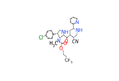 CN(C(=O)OCCCC(F)(F)F)[C@H]1C(C(=O)C2CC(c3ccccn3)NCC2C#N)NC[C@@H]1c1ccc(Cl)cc1